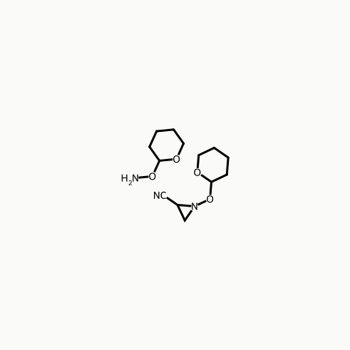 N#CC1CN1OC1CCCCO1.NOC1CCCCO1